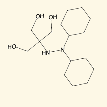 OCC(CO)(CO)NN(C1CCCCC1)C1CCCCC1